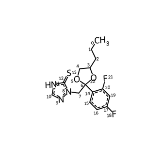 CCCC1COC(Cn2nc[nH]c2=S)(c2ccc(F)cc2F)O1